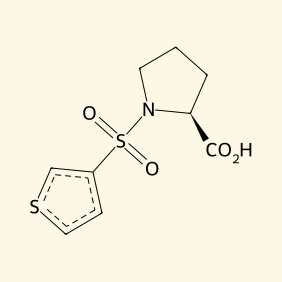 O=C(O)[C@@H]1CCCN1S(=O)(=O)c1ccsc1